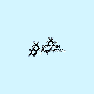 COCC[C@H]([C@@H]1C[C@H]1C(=O)N[C@@H]1CC(C)(C)Oc2cc(C)ccc21)N1C(=N)NC(C)(C)CC1=O